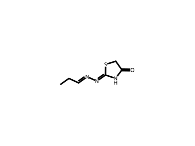 CCC=NN=C1NC(=O)CS1